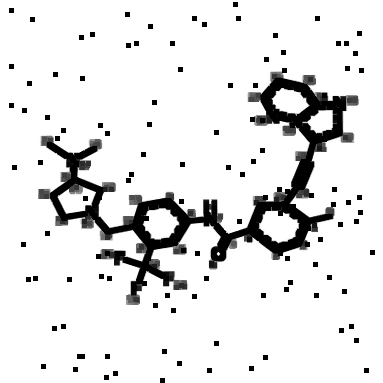 Cc1ccc(C(=O)Nc2ccc(CN3CC[C@@H](N(C)C)C3)c(C(F)(F)F)c2)cc1C#Cc1cnc2cccnn12